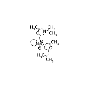 CC(C)CC1CN(P(=O)(OCC2CN(C(C)C)C[C@H](C)O2)N2CCCCC2)C[C@H](C)O1